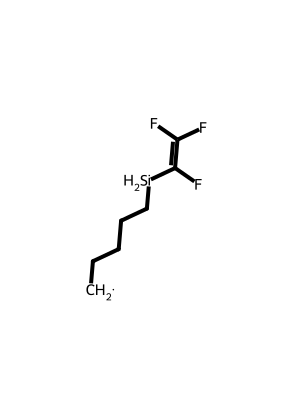 [CH2]CCCC[SiH2]C(F)=C(F)F